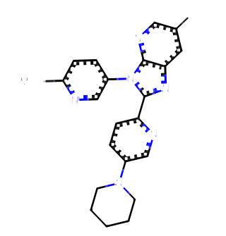 COc1ccc(-n2c(-c3ccc(N4CCCCC4)cn3)nc3cc(C(F)(F)F)cnc32)cn1